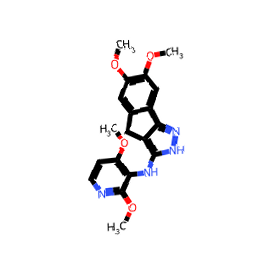 COc1cc2c(cc1OC)-c1n[nH]c(Nc3c(OC)ccnc3OC)c1C2